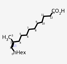 CCCCCC/C=C(/C)CCCCCCCCCC(=O)O